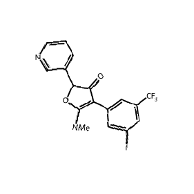 CNC1=C(c2cc(I)cc(C(F)(F)F)c2)C(=O)C(c2cccnc2)O1